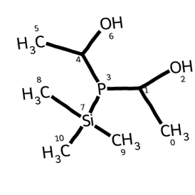 CC(O)P(C(C)O)[Si](C)(C)C